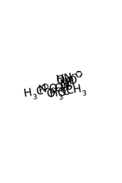 CN1C=CCC(C(=O)OCOC(=O)[C@H]2N3C(=O)[C@H](NC(=O)Cc4ccccc4)[C@@H]3SC2(C)C)=C1